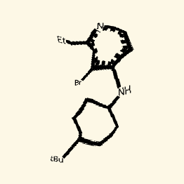 CCc1nccc(NC2CCC(C(C)(C)C)CC2)c1Br